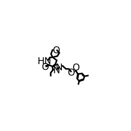 CCc1nn(CCCOC(=O)c2cc(C)cc(C)c2)c2c1C(=O)NCC1(CCOCC1)C2